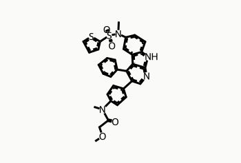 COCC(=O)N(C)c1ccc(-c2cnc3[nH]c4ccc(N(C)S(=O)(=O)c5cccs5)cc4c3c2-c2ccccc2)cc1